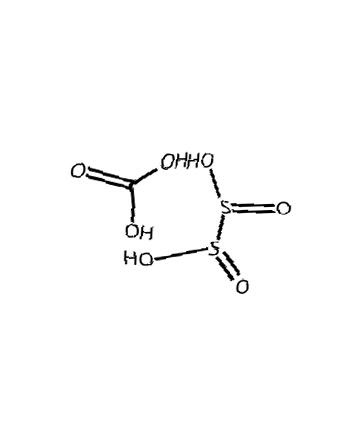 O=C(O)O.O=S(O)S(=O)O